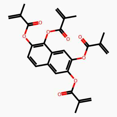 C=C(C)C(=O)Oc1cc2ccc(OC(=O)C(=C)C)c(OC(=O)C(=C)C)c2cc1OC(=O)C(=C)C